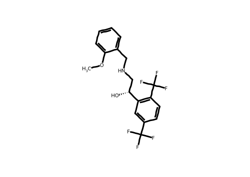 COc1ccccc1CNC[C@@H](O)c1cc(C(F)(F)F)ccc1C(F)(F)F